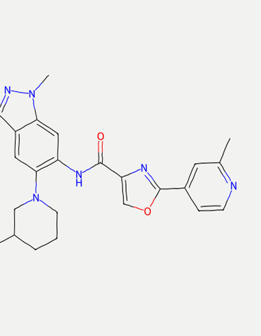 Cc1cc(-c2nc(C(=O)Nc3cc4c(cnn4C)cc3N3CCCC(C)C3)co2)ccn1